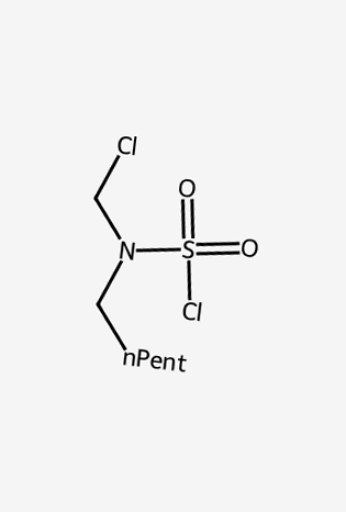 CCCCCCN(CCl)S(=O)(=O)Cl